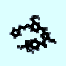 COc1cc(Nc2nc(N)n(C(=O)c3ccc(C(C)(C)C)cc3)n2)ccc1OCCN1CCCC1